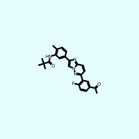 CC(=O)c1ccc(F)c(-c2ccc3nc(-c4ccc(C)c(NC(=O)C(C)(C)C)c4)cn3n2)c1